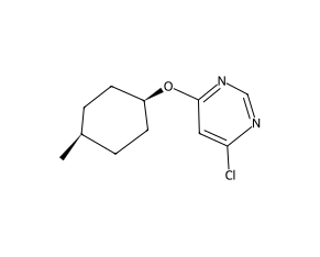 C[C@H]1CC[C@@H](Oc2cc(Cl)ncn2)CC1